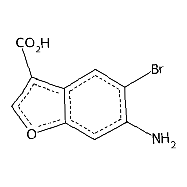 Nc1cc2occ(C(=O)O)c2cc1Br